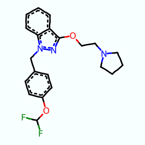 FC(F)Oc1ccc(Cn2nc(OCCN3CCCC3)c3ccccc32)cc1